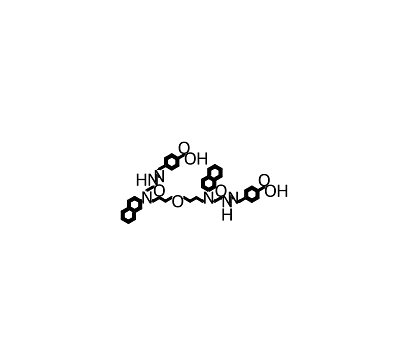 O=C(CN(CCCCOCCCCN(CC(=O)N/N=C/c1ccc(C(=O)O)cc1)c1ccc2ccccc2c1)c1ccc2ccccc2c1)N/N=C/c1ccc(C(=O)O)cc1